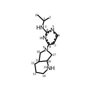 CC(C)Nc1nccc(N2CC3CCCNC3C2)n1